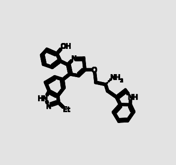 CCc1n[nH]c2ccc(-c3cc(OC[C@H](N)Cc4c[nH]c5ccccc45)cnc3-c3ccccc3O)cc12